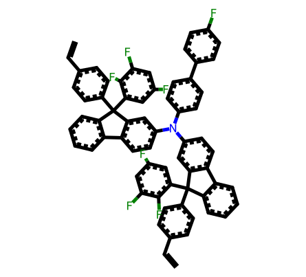 C=Cc1ccc(C2(c3cc(F)cc(F)c3F)c3ccccc3-c3ccc(N(c4ccc(-c5ccc(F)cc5)cc4)c4ccc5c(c4)C(c4ccc(C=C)cc4)(c4cc(F)cc(F)c4F)c4ccccc4-5)cc32)cc1